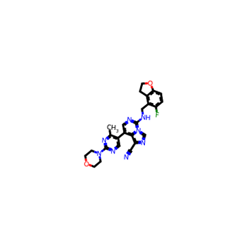 Cc1nc(N2CCOCC2)ncc1-c1cnc(NCc2c(F)ccc3c2CCO3)n2cnc(C#N)c12